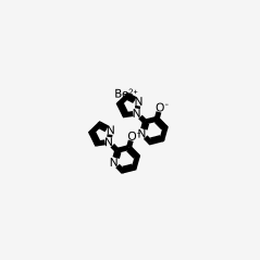 [Be+2].[O-]c1cccnc1-n1cccn1.[O-]c1cccnc1-n1cccn1